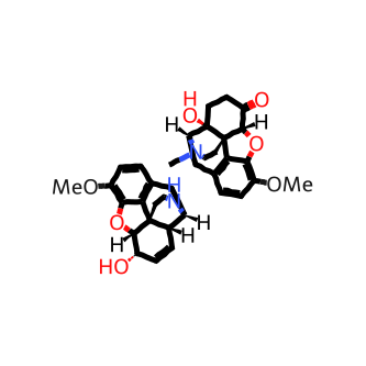 COc1ccc2c3c1O[C@H]1C(=O)CC[C@@]4(O)[C@@H](C2)N(C)CC[C@]314.COc1ccc2c3c1O[C@H]1[C@@H](O)C=C[C@H]4[C@@H](C2)NCC[C@@]341